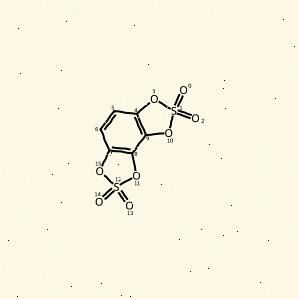 O=S1(=O)Oc2ccc3c(c2O1)OS(=O)(=O)O3